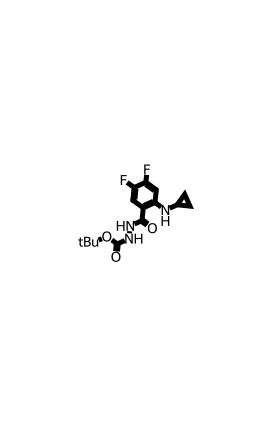 CC(C)(C)OC(=O)NNC(=O)c1cc(F)c(F)cc1NC1CC1